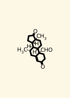 C[C@H]1CC2=CC(=O)CC[C@]2(C=O)[C@H]2CC[C@]3(C)C(=O)CC[C@H]3[C@H]12